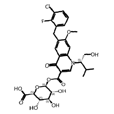 COc1cc2c(cc1Cc1cccc(Cl)c1F)c(=O)c(C(=O)O[C@@H]1O[C@H](C(=O)O)[C@@H](O)[C@H](O)[C@H]1O)cn2[C@H](CO)C(C)C